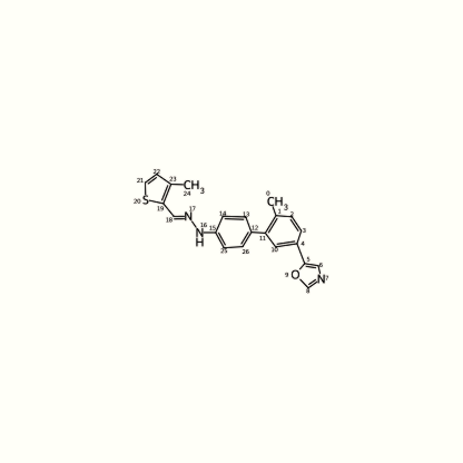 Cc1ccc(-c2cnco2)cc1-c1ccc(NN=Cc2sccc2C)cc1